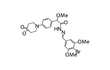 COc1cc(/C=N/NC(=O)C(OC)c2ccc(N3CCS(=O)(=O)CC3)cc2)cc(OC)c1Br